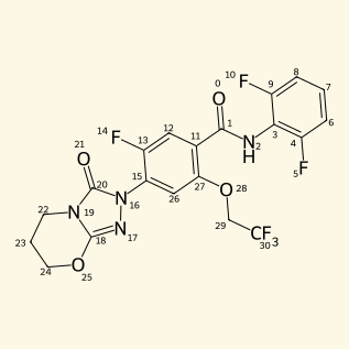 O=C(Nc1c(F)cccc1F)c1cc(F)c(-n2nc3n(c2=O)CCCO3)cc1OCC(F)(F)F